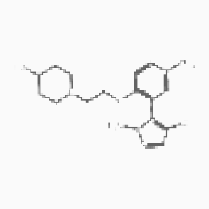 Cn1ncc(Cl)c1-c1cc(N)ccc1OCCN1CCC(O)CC1